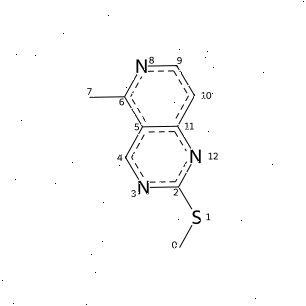 CSc1ncc2c(C)nccc2n1